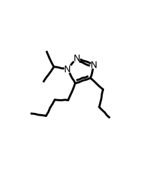 CCCCc1c(CCC)nnn1C(C)C